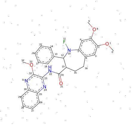 COc1cc2c(cc1OC)N(F)C(c1ccccc1)C(C(=O)Nc1nc3ccccc3nc1OC)CC2